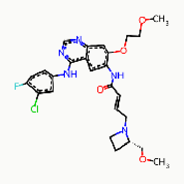 COCCOc1cc2ncnc(Nc3ccc(F)c(Cl)c3)c2cc1NC(=O)/C=C/CN1CC[C@H]1COC